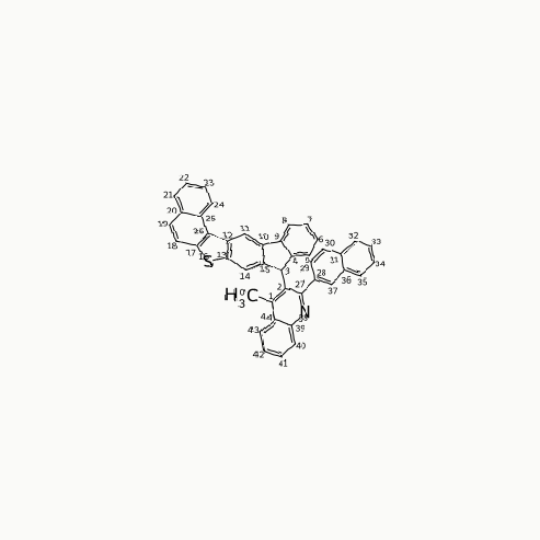 Cc1c(C2c3ccccc3-c3cc4c(cc32)sc2ccc3ccccc3c24)c(-c2ccc3ccccc3c2)nc2ccccc12